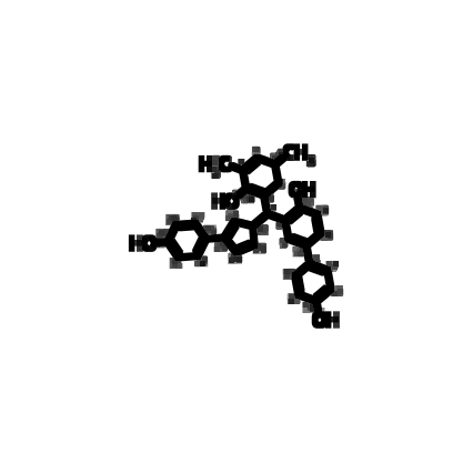 CC1=CC(C)CC(C(c2cc(-c3ccc(O)cc3)ccc2O)C2C=CC(c3ccc(O)cc3)=C2)=C1O